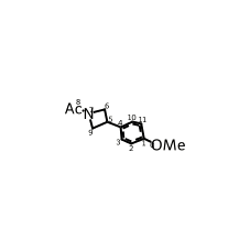 COc1ccc(C2CN(C(C)=O)C2)cc1